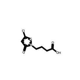 O=C(O)CCCn1sc(Cl)cc1=O